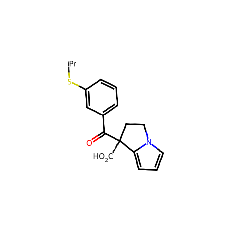 CC(C)Sc1cccc(C(=O)C2(C(=O)O)CCn3cccc32)c1